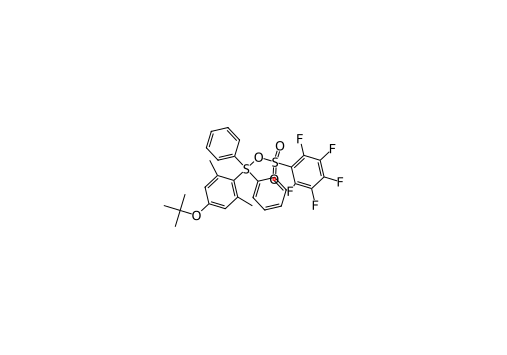 Cc1cc(OC(C)(C)C)cc(C)c1S(OS(=O)(=O)c1c(F)c(F)c(F)c(F)c1F)(c1ccccc1)c1ccccc1